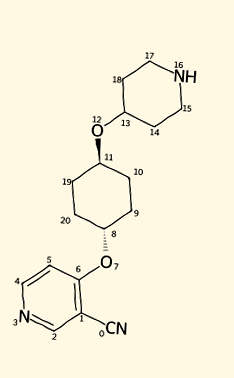 N#Cc1cnccc1O[C@H]1CC[C@H](OC2CCNCC2)CC1